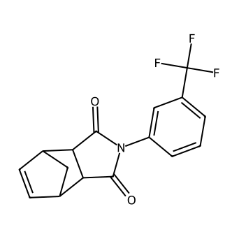 O=C1C2C3C=CC(C3)C2C(=O)N1c1cccc(C(F)(F)F)c1